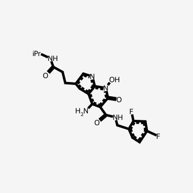 CC(C)NC(=O)CCc1cnc2c(c1)c(N)c(C(=O)NCc1ccc(F)cc1F)c(=O)n2O